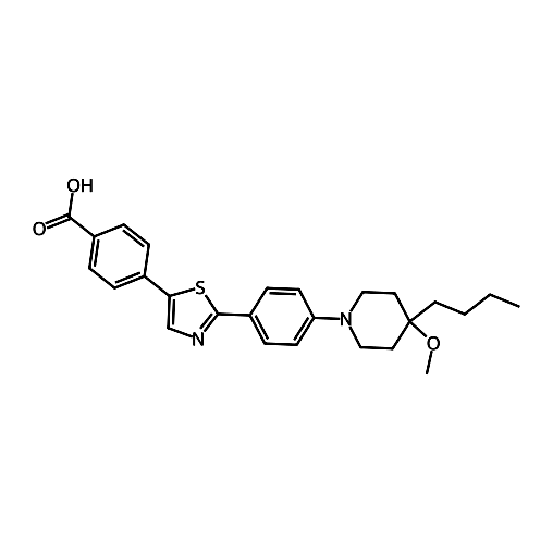 CCCCC1(OC)CCN(c2ccc(-c3ncc(-c4ccc(C(=O)O)cc4)s3)cc2)CC1